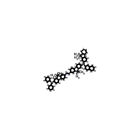 CC1(C)C2=C(C=CCC2)c2ccc(N(c3ccc4c(c3)C(C)(C)c3cc(/C=C/c5ccc6c(c5)C(C)(C)c5cc(N(c7ccccc7)c7ccccc7)ccc5-6)ccc3-4)c3ccc4ccccc4c3)cc21